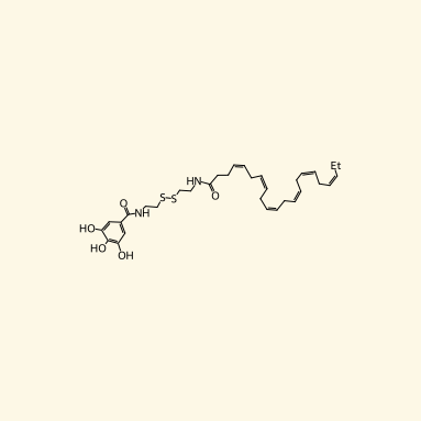 CC/C=C\C/C=C\C/C=C\C/C=C\C/C=C\C/C=C\CCC(=O)NCCSSCCNC(=O)c1cc(O)c(O)c(O)c1